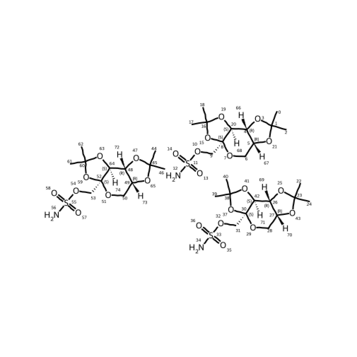 CC1(C)O[C@@H]2[C@@H](CO[C@@]3(COS(N)(=O)=O)OC(C)(C)O[C@@H]23)O1.CC1(C)O[C@@H]2[C@@H](CO[C@@]3(COS(N)(=O)=O)OC(C)(C)O[C@@H]23)O1.CC1(C)O[C@@H]2[C@@H](CO[C@@]3(COS(N)(=O)=O)OC(C)(C)O[C@@H]23)O1